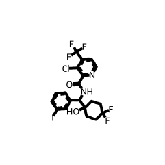 O=C(NC(c1cccc(I)c1)C1(O)CCC(F)(F)CC1)c1nccc(C(F)(F)F)c1Cl